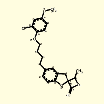 CC1OC(=O)[C@@]12Cc1cc(CCCCOc3ccc(OC(F)(F)F)cc3Cl)ccc1O2